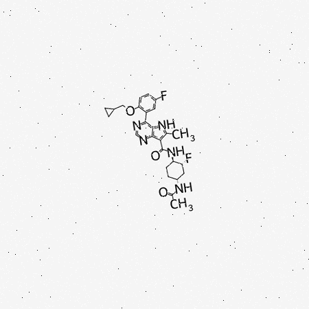 CC(=O)N[C@@H]1CC[C@@H](NC(=O)c2c(C)[nH]c3c(-c4cc(F)ccc4OCC4CC4)ncnc23)[C@H](F)C1